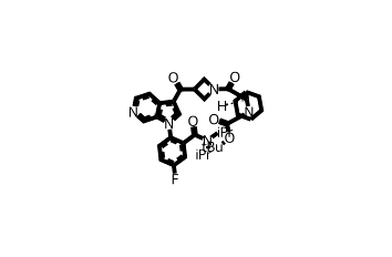 CC(C)N(C(=O)c1cc(F)ccc1-n1cc(C(=O)C2CN(C(=O)[C@H]3C4CCC(CC4)N3C(=O)OC(C)(C)C)C2)c2ccncc21)C(C)C